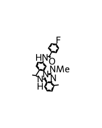 CNc1nc(NC(C)c2ccc(NC(=O)c3ccc(F)cc3)cc2)c2cccc(C)c2n1